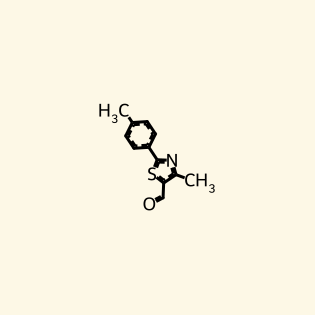 Cc1ccc(-c2nc(C)c(C=O)s2)cc1